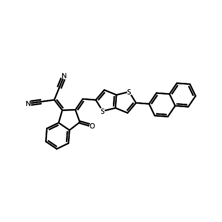 N#CC(C#N)=C1/C(=C/c2cc3sc(-c4ccc5ccccc5c4)cc3s2)C(=O)c2ccccc21